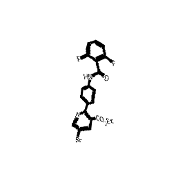 CCOC(=O)c1cc(Br)cnc1-c1ccc(NC(=O)c2c(F)cccc2F)cc1